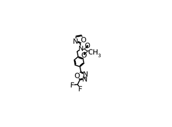 CS(=O)(=O)N(Cc1ccc(-c2nnc(C(F)F)o2)cc1)c1ncco1